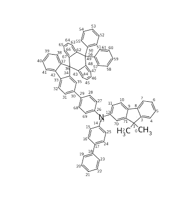 CC1(C)c2ccccc2-c2ccc(N(c3ccc(-c4ccccc4)cc3)c3ccc(-c4ccc5c(c4)C4(c6ccccc6-5)c5ccccc5C(c5ccccc5)(c5ccccc5)c5ccccc54)cc3)cc21